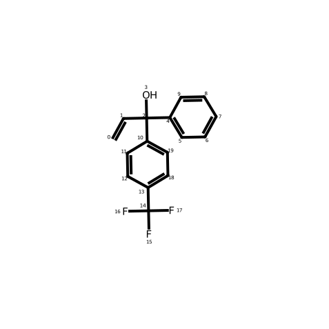 C=CC(O)(c1ccccc1)c1ccc(C(F)(F)F)cc1